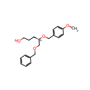 COc1ccc(CO[C@H](CCCO)COCc2ccccc2)cc1